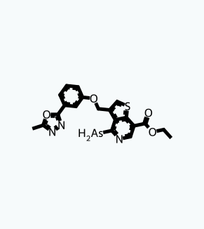 CCOC(=O)c1cnc([AsH2])c2c(COc3cccc(-c4nnc(C)o4)c3)csc12